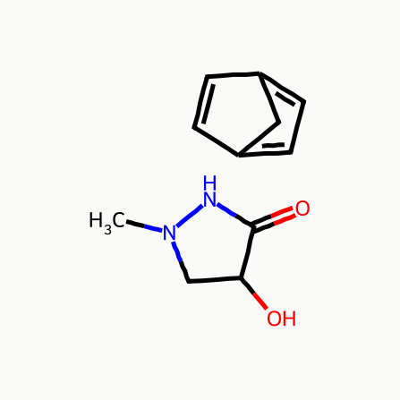 C1=CC2=CC=C1C2.CN1CC(O)C(=O)N1